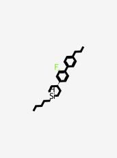 CCCCC[Si@H]1CC[C@H](c2ccc(-c3ccc(CCC)cc3)c(F)c2)CC1